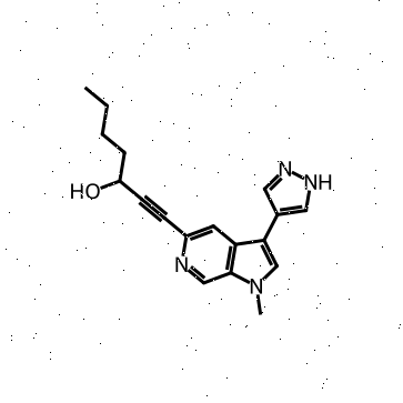 CCCCC(O)C#Cc1cc2c(-c3cn[nH]c3)cn(C)c2cn1